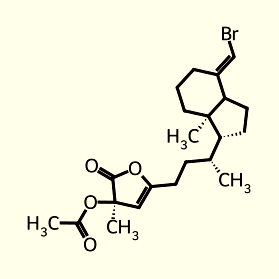 CC(=O)O[C@]1(C)C=C(CC[C@@H](C)[C@H]2CCC3/C(=C/Br)CCC[C@@]32C)OC1=O